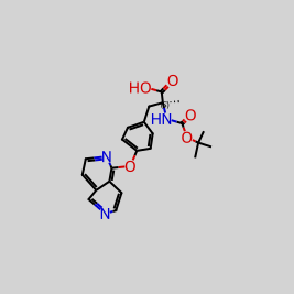 CC(C)(C)OC(=O)N[C@@](C)(Cc1ccc(Oc2nccc3cnccc23)cc1)C(=O)O